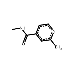 Bc1cc(C(=O)NC)ccn1